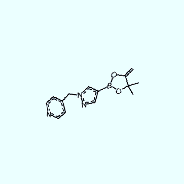 C=C1OB(c2cnn(Cc3ccncc3)c2)OC1(C)C